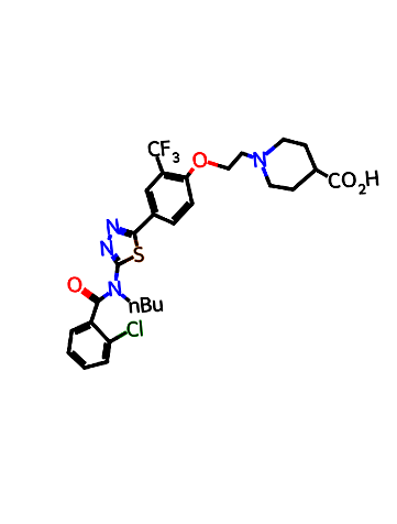 CCCCN(C(=O)c1ccccc1Cl)c1nnc(-c2ccc(OCCN3CCC(C(=O)O)CC3)c(C(F)(F)F)c2)s1